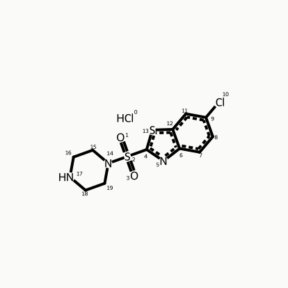 Cl.O=S(=O)(c1nc2ccc(Cl)cc2s1)N1CCNCC1